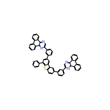 c1ccc(-c2cc(-c3cccc(-c4cnc5c6ccccc6c6ccccc6c5n4)c3)cc3c2sc2ccc(-c4cccc(-c5cnc6c7ccccc7c7ccccc7c6n5)c4)cc23)cc1